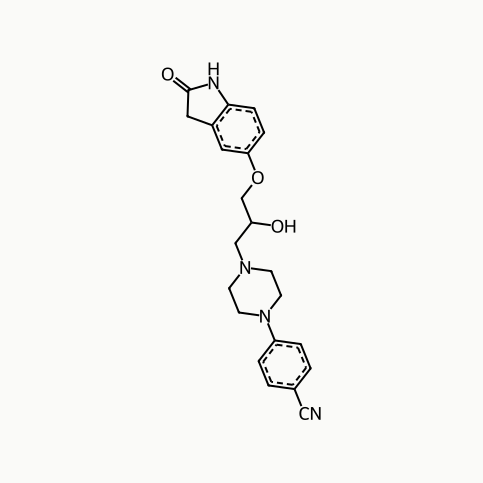 N#Cc1ccc(N2CCN(CC(O)COc3ccc4c(c3)CC(=O)N4)CC2)cc1